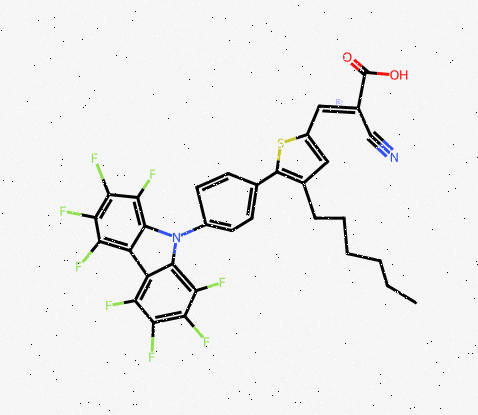 CCCCCCc1cc(/C=C(\C#N)C(=O)O)sc1-c1ccc(-n2c3c(F)c(F)c(F)c(F)c3c3c(F)c(F)c(F)c(F)c32)cc1